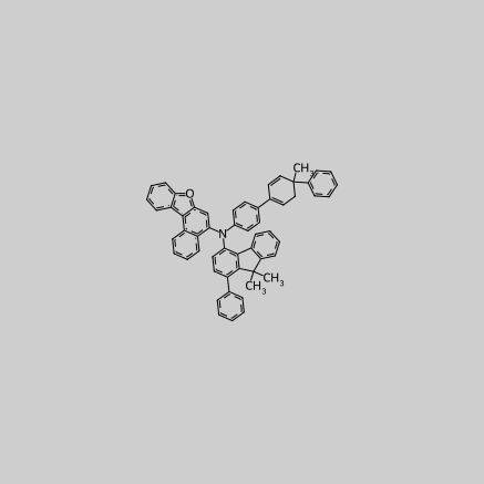 CC1(c2ccccc2)C=CC(c2ccc(N(c3ccc(-c4ccccc4)c4c3-c3ccccc3C4(C)C)c3cc4oc5ccccc5c4c4ccccc34)cc2)=CC1